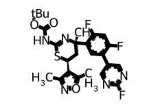 Cc1noc(C)c1[C@@H]1C[C@@](C)(c2cc(-c3cnc(F)nc3)c(F)cc2F)N=C(NC(=O)OC(C)(C)C)S1